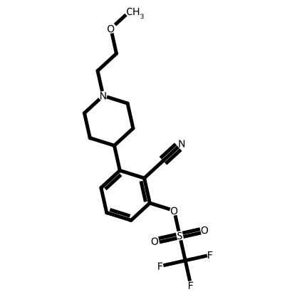 COCCN1CCC(c2cccc(OS(=O)(=O)C(F)(F)F)c2C#N)CC1